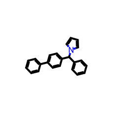 c1ccc(-c2ccc(C(c3ccccc3)n3cccc3)cc2)cc1